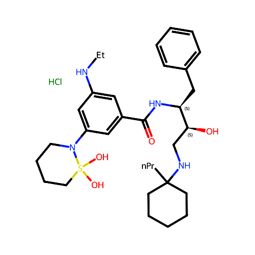 CCCC1(NC[C@H](O)[C@H](Cc2ccccc2)NC(=O)c2cc(NCC)cc(N3CCCCS3(O)O)c2)CCCCC1.Cl